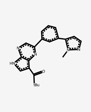 Cn1nccc1-c1cccc(-c2cnc3[nH]cc(C(=O)C(C)(C)C)c3n2)c1